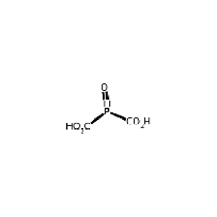 O=C(O)[PH](=O)C(=O)O